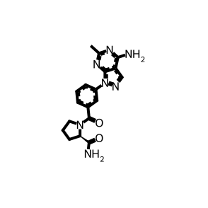 Cc1nc(N)c2cnn(-c3cccc(C(=O)N4CCC[C@@H]4C(N)=O)c3)c2n1